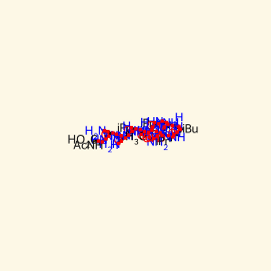 CCC(C)C(CNCC(=O)N[C@H](CNCC(=O)N[C@H](CNCC(N)=O)CC(C)C)CC(C)C)NC(=O)CNC[C@H](CCCN)NC(=O)CNC[C@H](CC(C)C)NC(=O)CNCC(NC(=O)CNC[C@H](CC(C)C)NC(=O)CNC[C@H](CCCN)NC(=O)CNC[C@H](CCCN)NC(=O)CNC[C@H](CCC(=O)O)NC(C)=O)C(C)O